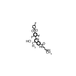 CNCCNC(=O)c1ccc2c(C)cc(-c3c(F)cc(S(=O)(=O)N4CC[C@H](F)C4)cc3F)nc2c1.Cl